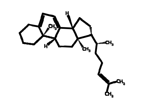 CC(C)=CCC[C@@H](C)[C@H]1CC[C@H]2C3=CC=C4CCCC[C@]4(C)[C@H]3CC[C@]12C